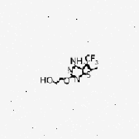 CC1=C(C(F)(F)F)C2C(N)=NC(OCCO)=NC2S1